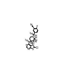 [2H]N(c1ncnc2sc(Cl)nc12)C1([2H])CCN(C([2H])([2H])c2ccc(F)c(C#N)c2)C([2H])([2H])C1([2H])[2H]